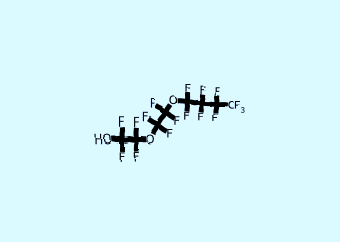 OC(F)(F)C(F)(F)OC(F)(F)C(F)(F)OC(F)(F)C(F)(F)C(F)(F)C(F)(F)F